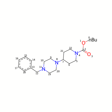 CCCCOC(=O)N1CCC(N2CCN(Cc3ccccc3)CC2)CC1